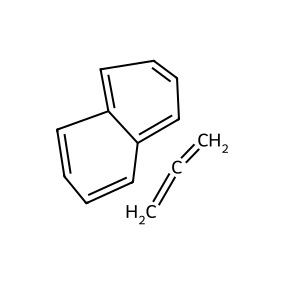 C=C=C.c1ccc2ccccc2c1